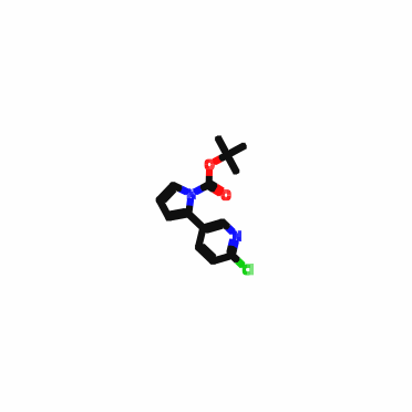 CC(C)(C)OC(=O)n1cccc1-c1ccc(Cl)nc1